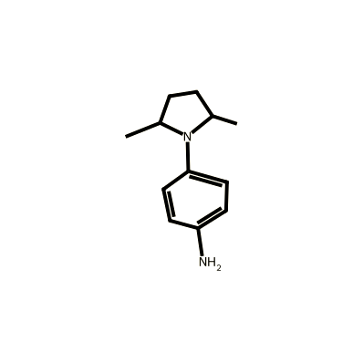 CC1CCC(C)N1c1ccc(N)cc1